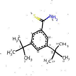 CC(C)(C)c1cc(C(N)=S)cc(C(C)(C)C)c1